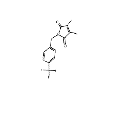 CC1=C(C)C(=O)N(Cc2ccc(C(F)(F)F)cc2)C1=O